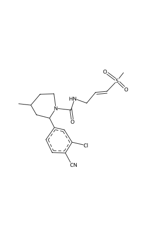 CC1CCN(C(=O)NC/C=C/S(C)(=O)=O)C(c2ccc(C#N)c(Cl)c2)C1